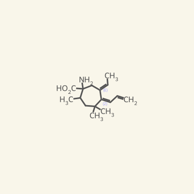 C=C/C=C1\C(=C\C)CC(N)(C(=O)O)C(C)CC1(C)C